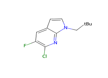 CC(C)(C)Cn1ccc2cc(F)c(Cl)nc21